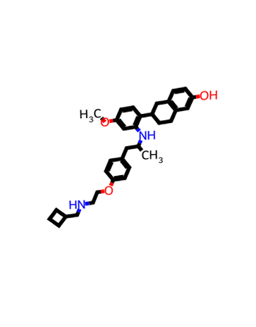 COc1ccc(C2CCc3cc(O)ccc3C2)c(NC(C)Cc2ccc(OCCNCC3CCC3)cc2)c1